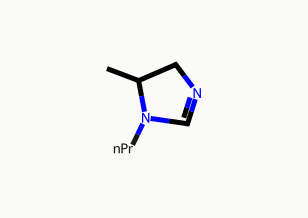 CCCN1C=NCC1C